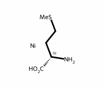 CSCC[C@H](N)C(=O)O.[Ni]